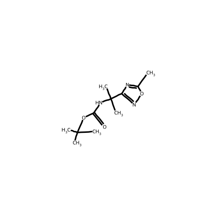 Cc1nc(C(C)(C)NC(=O)OC(C)(C)C)no1